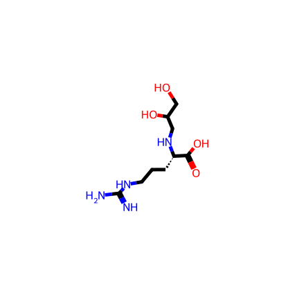 N=C(N)NCCC[C@H](NCC(O)CO)C(=O)O